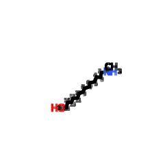 CNCCCCCCCCCCCCCCO